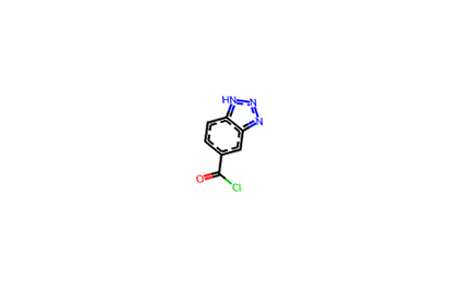 O=C(Cl)c1ccc2[nH]nnc2c1